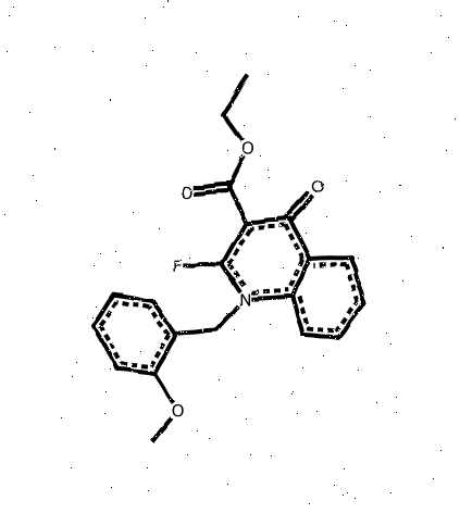 CCOC(=O)c1c(F)n(Cc2ccccc2OC)c2ccccc2c1=O